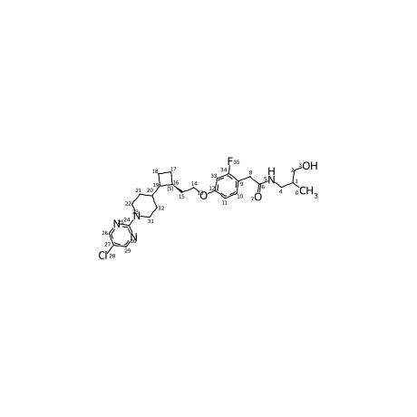 CC(CO)CNC(=O)Cc1ccc(OCC[C@@H]2CCC2C2CCN(c3ncc(Cl)cn3)CC2)cc1F